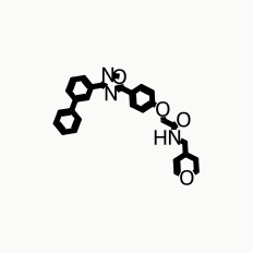 O=C(COc1ccc(-c2nc(-c3cccc(-c4ccccc4)c3)no2)cc1)NCC1C=COCC1